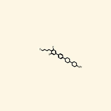 CCCC1CCC(C2CCC(c3ccc(-c4cc(F)c(CCCCF)c(F)c4)cc3)CC2)CC1